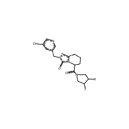 O=C(C1CCCc2nn(Cc3cncc(Cl)c3)c(=O)n21)N1CC(F)C(F)C1